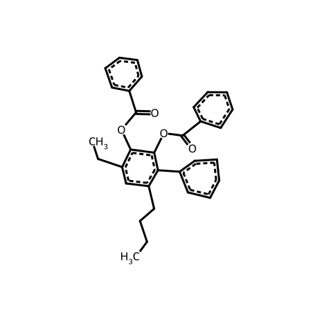 CCCCc1cc(CC)c(OC(=O)c2ccccc2)c(OC(=O)c2ccccc2)c1-c1ccccc1